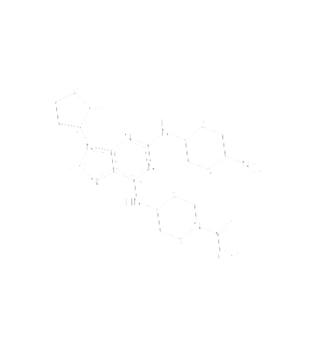 CCCCCC(=O)N1CCC(Nc2nc(NC3CCC(N)CC3)nc3c2ncn3C2CCCC2)CC1